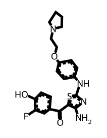 Nc1nc(Nc2ccc(OCCN3CCCC3)cc2)sc1C(=O)c1ccc(O)c(F)c1